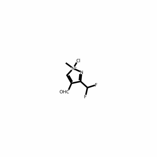 C[N+]1(Cl)C=C(C=O)C(C(F)F)=N1